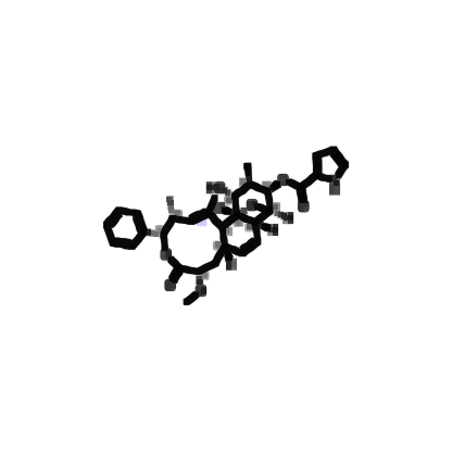 CO[C@H]1C[C@H]2C=C[C@H]3[C@H]4O[C@]2(/C(C)=C/[C@@H](C)[C@@H](c2ccccc2)OC1=O)[C@@H]3[C@H](O)[C@@H](C)[C@H]4OC(=O)c1ccc[nH]1